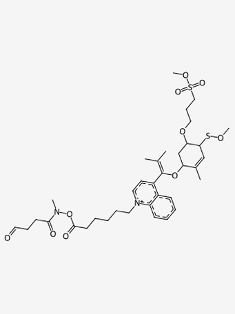 COSC1C=C(C)C(OC(=C(C)C)c2cc[n+](CCCCCC(=O)ON(C)C(=O)CCC=O)c3ccccc23)CC1OCCCS(=O)(=O)OC